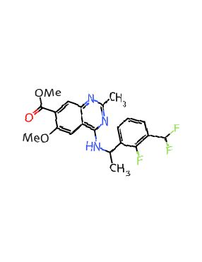 COC(=O)c1cc2nc(C)nc(NC(C)c3cccc(C(F)F)c3F)c2cc1OC